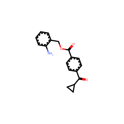 Nc1ccccc1COC(=O)c1ccc(C(=O)C2CC2)cc1